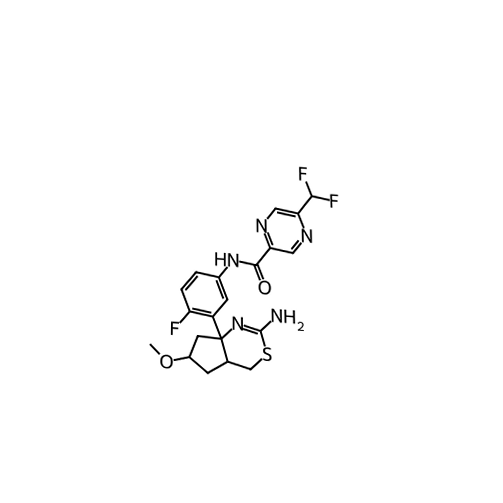 COC1CC2CSC(N)=NC2(c2cc(NC(=O)c3cnc(C(F)F)cn3)ccc2F)C1